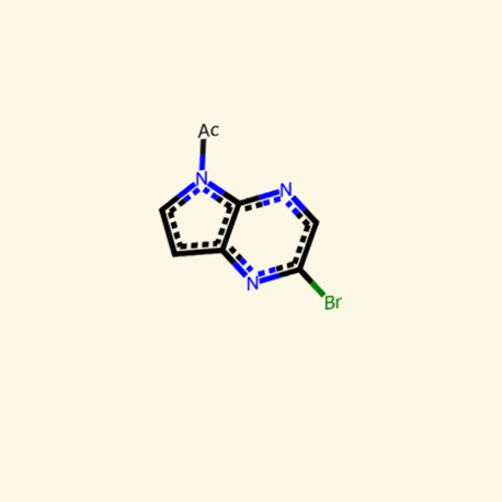 CC(=O)n1ccc2nc(Br)cnc21